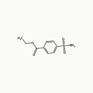 CCOC(=O)c1ccc(S(N)(=O)=O)cc1